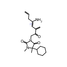 C=CC/C(N)=C/C(=C)C(=O)CN1C(=O)N(C)C(C)(C2CCCCC2)C1=O